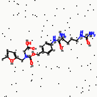 Cc1ccc(CN(CC(=O)O)C(=O)OCc2ccc(NC(=O)[C@@H](N)CCCNC(N)=O)cc2)o1